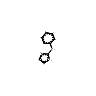 [c]1cccc(Oc2nccs2)c1